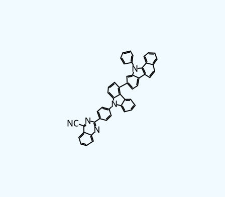 N#Cc1nc(-c2ccc(-n3c4ccccc4c4c(-c5ccc6c7ccc8ccccc8c7n(-c7ccccc7)c6c5)cccc43)cc2)nc2ccccc12